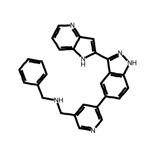 c1ccc(CNCc2cncc(-c3ccc4[nH]nc(-c5cc6ncccc6[nH]5)c4c3)c2)cc1